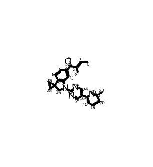 C/C=C(\C)C(=O)c1ccc2c(c1)N(c1ncc(-c3cccc(C)n3)cn1)CC21CC1